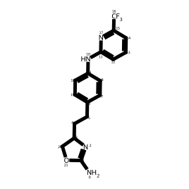 NC1=NC(CCc2ccc(Nc3cccc(C(F)(F)F)n3)cc2)CO1